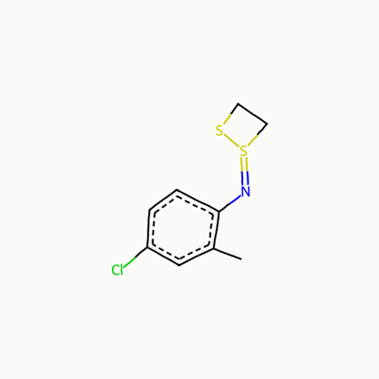 Cc1cc(Cl)ccc1N=S1CCS1